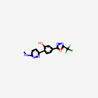 CNc1ccc(-c2ccc(-c3nnc(C(F)(F)F)o3)cc2O)nn1